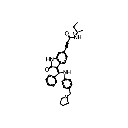 CC[C@@H](C)NC(=O)C#Cc1ccc2c(c1)NC(=O)C2=C(Nc1ccc(CN2CCCC2)cc1)c1ccccc1